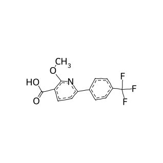 COc1nc(-c2ccc(C(F)(F)F)cc2)ccc1C(=O)O